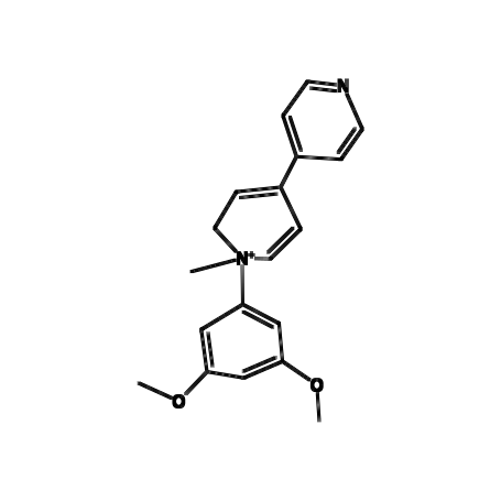 COc1cc(OC)cc([N+]2(C)C=CC(c3ccncc3)=CC2)c1